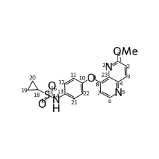 COc1ccc2nccc(Oc3ccc(NS(=O)(=O)C4CC4)cc3)c2n1